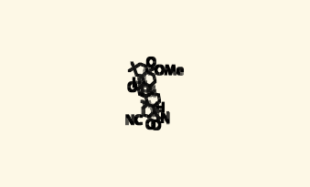 COC(=O)[C@]12CCC(C)(C)C[C@H]1[C@H]1C(=O)C=C3[C@@]4(C)C=C(C#N)C(=O)[C@@](C)(C(=O)N(C)C)[C@@H]4CC[C@@]3(C)[C@]1(C)CC2